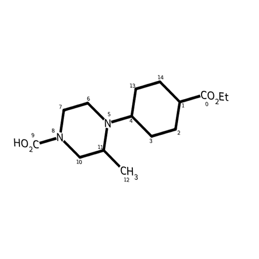 CCOC(=O)C1CCC(N2CCN(C(=O)O)CC2C)CC1